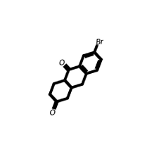 O=C1CCC2C(=O)c3cc(Br)ccc3CC2C1